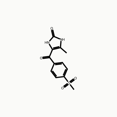 Cc1[nH]c(=O)[nH]c1C(=O)c1ccc(S(C)(=O)=O)cc1